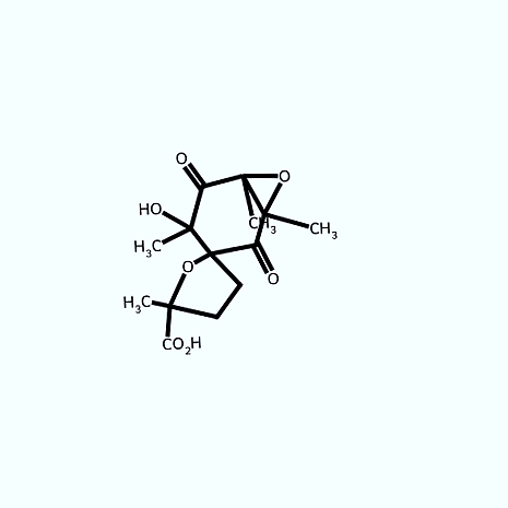 CC1(C(=O)O)CCC2(O1)C(=O)C1(C)OC1(C)C(=O)C2(C)O